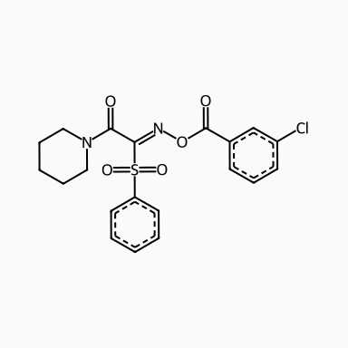 O=C(ON=C(C(=O)N1CCCCC1)S(=O)(=O)c1ccccc1)c1cccc(Cl)c1